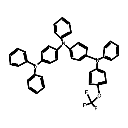 FC(F)(F)Oc1ccc(N(c2ccccc2)c2ccc(N(c3ccccc3)c3ccc(N(c4ccccc4)c4ccccc4)cc3)cc2)cc1